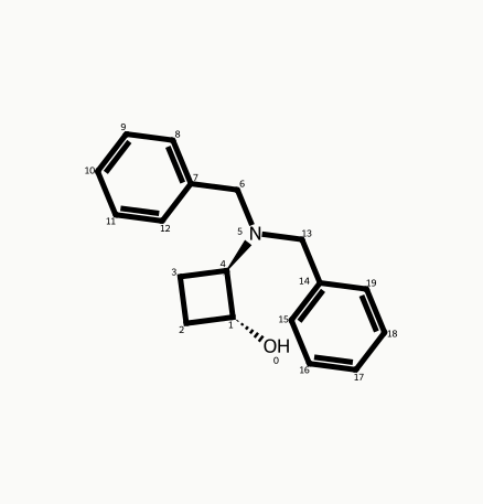 O[C@@H]1CC[C@H]1N(Cc1ccccc1)Cc1ccccc1